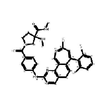 CNC(=O)C1(NC)CCN(C(=O)c2ccc(Nc3ncc4c(n3)C3=CN=C(Cl)C=C(c5c(F)cccc5F)C3=CC4)cc2)C1